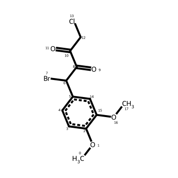 COc1ccc(C(Br)C(=O)C(=O)CCl)cc1OC